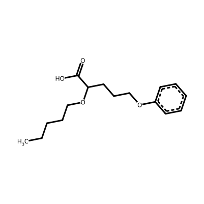 CCCCCOC(CCCOc1ccccc1)C(=O)O